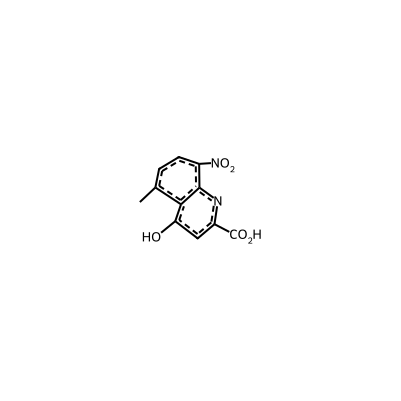 Cc1ccc([N+](=O)[O-])c2nc(C(=O)O)cc(O)c12